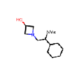 CNC(CN1CC(O)C1)C1CCCCC1